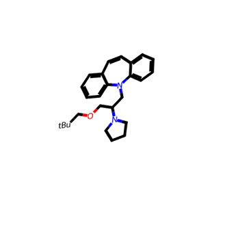 CC(C)(C)COCC(CN1c2ccccc2C=Cc2ccccc21)N1CCCC1